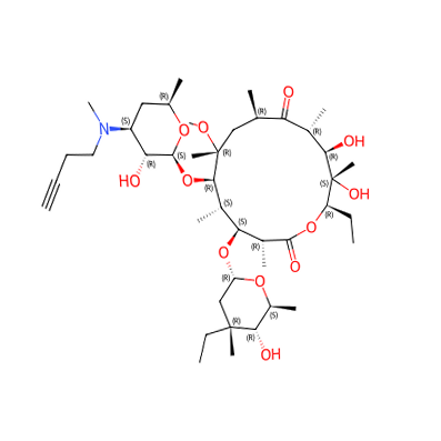 C#CCCN(C)[C@H]1C[C@@H](C)O[C@@H](O[C@@H]2[C@@H](C)[C@H](O[C@H]3C[C@@](C)(CC)[C@@H](O)[C@H](C)O3)[C@@H](C)C(=O)O[C@H](CC)[C@@](C)(O)[C@H](O)[C@@H](C)C(=O)[C@H](C)C[C@@]2(C)OC)[C@@H]1O